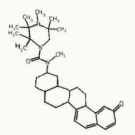 CN(C(=O)N1CC(C)(C)N(C)C(C)(C)C1(C)C)C1CCC2CCC3C4=CC=C5C=CC(=O)C=C5C4CCC3C2C1